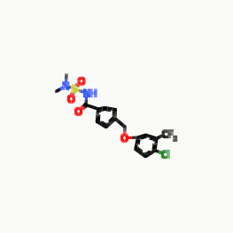 CN(C)S(=O)(=O)NC(=O)c1ccc(COc2ccc(Cl)c(C(F)(F)F)c2)cc1